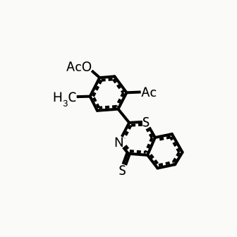 CC(=O)Oc1cc(C(C)=O)c(-c2nc(=S)c3ccccc3s2)cc1C